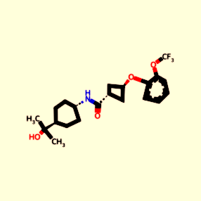 CC(C)(O)[C@H]1CC[C@H](NC(=O)[C@H]2C[C@H](Oc3ccccc3OC(F)(F)F)C2)CC1